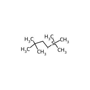 CC(C)(C)C[CH][Si](C)(C)C